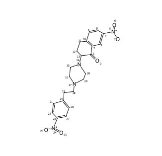 O=C1c2cc([N+](=O)[O-])ccc2CCC1N1CCN(CCc2ccc([N+](=O)[O-])cc2)CC1